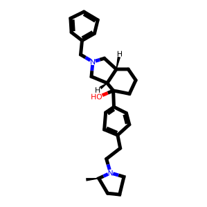 C[C@@H]1CCCN1CCc1ccc(C2(O)CCC[C@H]3CN(Cc4ccccc4)C[C@H]32)cc1